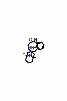 O=[N+]([O-])c1ccccc1N[C@H]1C[C@H]2CCC[C@@H](C1)N2C1CCCCCCC1